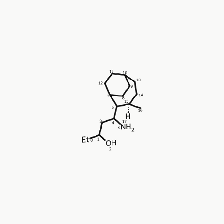 CCC(O)CC(N)C1C2CCC(CC2)CC[C@H]1C